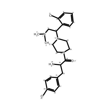 CN(C)CC(c1ccccc1Cl)N1CCN(C(=O)C(N)Cc2ccc(Cl)cc2)CC1